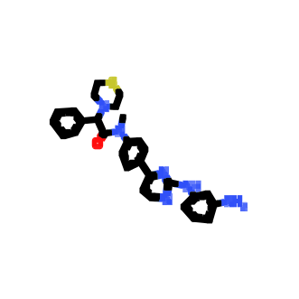 CN(C(=O)C(c1ccccc1)N1CCSCC1)c1ccc(-c2ccnc(Nc3cccc(N)c3)n2)cc1